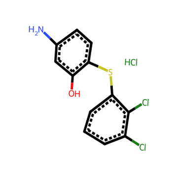 Cl.Nc1ccc(Sc2cccc(Cl)c2Cl)c(O)c1